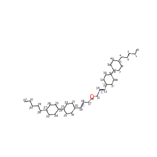 CCCCCC1CCC(C2CCC(/C=C/COC/C=C/C3CCC(C4CCC(CCCCC)CC4)CC3)CC2)CC1